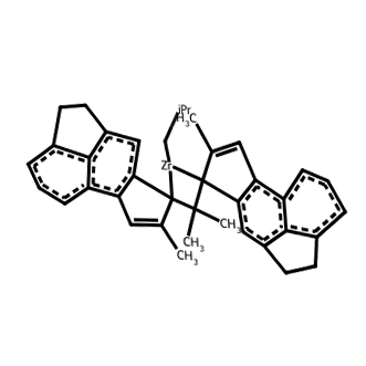 CC1=Cc2c(cc3c4c(cccc24)CC3)[C]12[Zr]([CH2]C(C)C)[C]1(C(C)=Cc3c1cc1c4c(cccc34)CC1)C2(C)C